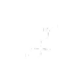 CCOS(=O)(=O)CCNCl